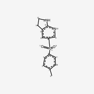 Cc1ccc(S(=O)(=O)c2cnc3c(c2)CCN3)cc1